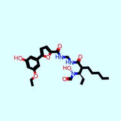 CCCCCC(C(=O)NCNC(=O)c1ccc(-c2cc(O)cc(OCC)c2)o1)[C@@H](CC)N(O)C=O